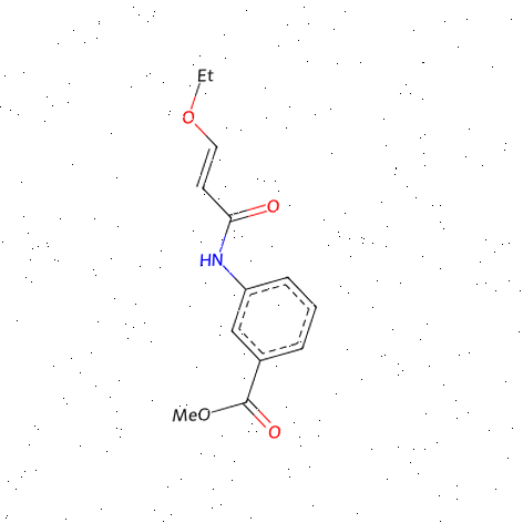 CCOC=CC(=O)Nc1cccc(C(=O)OC)c1